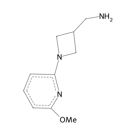 COc1cccc(N2CC(CN)C2)n1